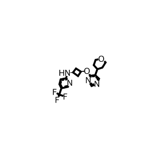 FC(F)(F)c1ccc(N[C@H]2C[C@H](Oc3ncncc3C3CCOCC3)C2)nc1